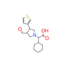 O=CC1CN(C(C(=O)O)C2CCCCC2)CC1c1ccsc1